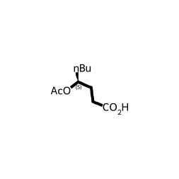 CCCC[C@@H](CCC(=O)O)OC(C)=O